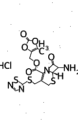 Cc1oc(=O)oc1COC(=O)C1=C(CSc2ncns2)CS[C@H]2C(N)C(=O)N12.Cl